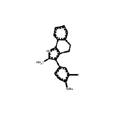 COc1ccc(-c2c(C(=O)O)[nH]c3c2CCc2ccccc2-3)cc1F